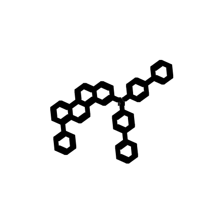 c1ccc(-c2ccc(N(c3ccc(-c4ccccc4)cc3)c3ccc4ccc5c6cccc(-c7ccccc7)c6ccc5c4c3)cc2)cc1